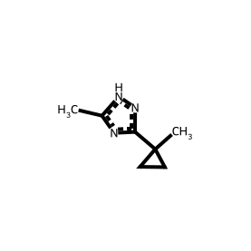 Cc1nc(C2(C)CC2)n[nH]1